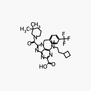 CC1(C)CCCN(C(=O)c2nc3nc(C(=O)O)nc(NCCC4CCC4)c3n2Cc2ccc(C(F)(F)F)cc2)C1